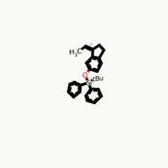 C/C=C1/CCc2ccc(O[Si](c3ccccc3)(c3ccccc3)C(C)(C)C)cc21